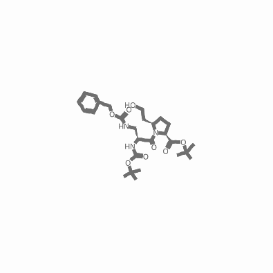 CC(C)(C)OC(=O)N[C@@H](CNC(=O)OCc1ccccc1)C(=O)N1[C@@H](CCO)CC[C@H]1C(=O)OC(C)(C)C